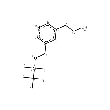 CC(C)(C)[Si](C)(C)OCc1cncc(CCO)c1